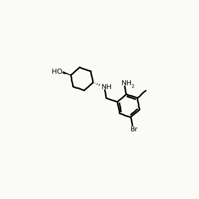 Cc1cc(Br)cc(CN[C@H]2CC[C@H](O)CC2)c1N